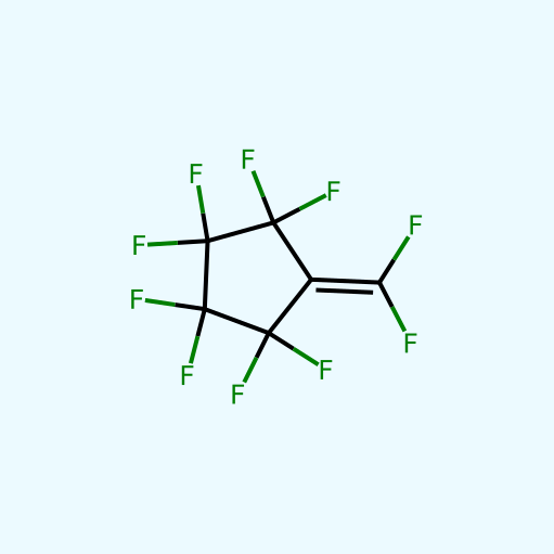 FC(F)=C1C(F)(F)C(F)(F)C(F)(F)C1(F)F